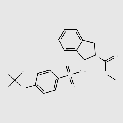 COC(=O)[C@@H]1Cc2ccccc2[C@H]1NS(=O)(=O)c1ccc(OC(F)(F)F)cc1